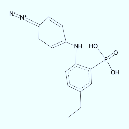 CCc1ccc(NC2=CCC(=[N+]=[N-])C=C2)c(P(=O)(O)O)c1